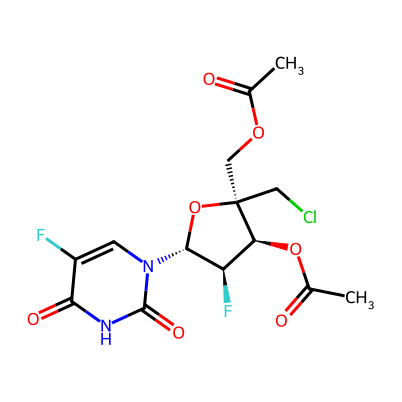 CC(=O)OC[C@@]1(CCl)O[C@@H](n2cc(F)c(=O)[nH]c2=O)[C@H](F)[C@@H]1OC(C)=O